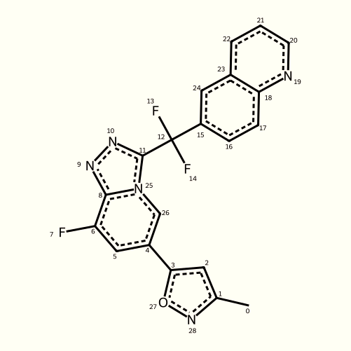 Cc1cc(-c2cc(F)c3nnc(C(F)(F)c4ccc5ncccc5c4)n3c2)on1